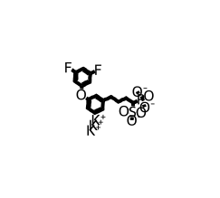 O=P([O-])([O-])C(CCCc1cccc(Oc2cc(F)cc(F)c2)c1)S(=O)(=O)[O-].[K+].[K+].[K+]